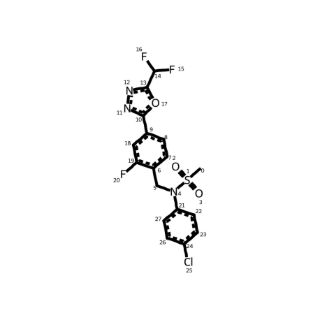 CS(=O)(=O)N(Cc1ccc(-c2nnc(C(F)F)o2)cc1F)c1ccc(Cl)cc1